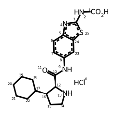 Cl.O=C(O)Nc1nc2ccc(NC(=O)[C@H]3NCC[C@H]3C3CCCCC3)cc2s1